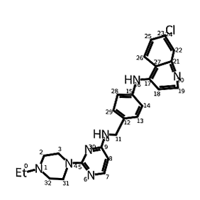 CCN1CCN(c2nccc(NCc3ccc(Nc4ccnc5cc(Cl)ccc45)cc3)n2)CC1